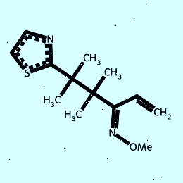 C=C/C(=N\OC)C(C)(C)C(C)(C)c1nccs1